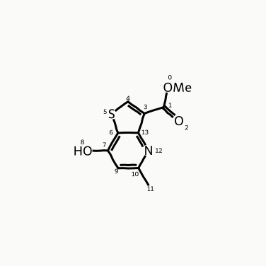 COC(=O)c1csc2c(O)cc(C)nc12